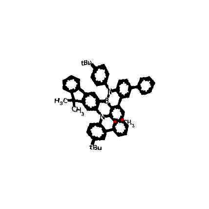 Cc1cc2c3c(c1)N(c1ccc(C(C)(C)C)cc1-c1ccccc1)c1cc4c(cc1B3N(c1ccc(C(C)(C)C)cc1)c1ccc(-c3ccccc3)cc1-2)-c1ccccc1C4(C)C